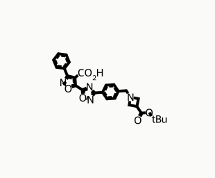 CC(C)(C)OC(=O)C1CN(Cc2ccc(-c3noc(-c4onc(-c5ccccc5)c4C(=O)O)n3)cc2)C1